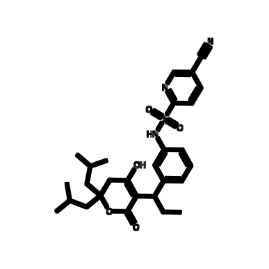 CCC(C1=C(O)CC(CC(C)C)(CC(C)C)OC1=O)c1cccc(NS(=O)(=O)c2ccc(C#N)cn2)c1